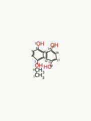 CC.Oc1ccc(O)cc1.Oc1ccc(O)cc1